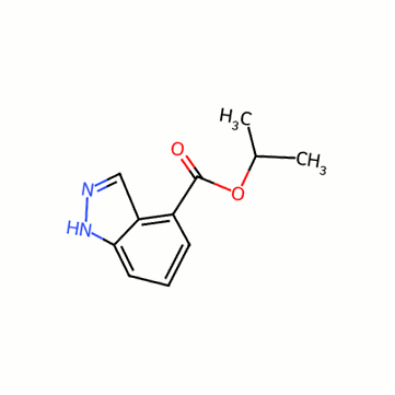 CC(C)OC(=O)c1cccc2[nH]ncc12